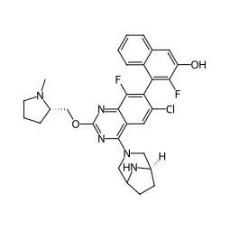 CN1CCC[C@H]1COc1nc(N2CC3CC[C@H](C2)N3)c2cc(Cl)c(-c3c(F)c(O)cc4ccccc34)c(F)c2n1